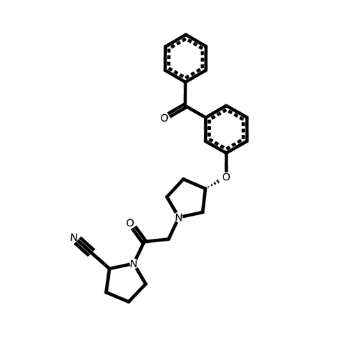 N#CC1CCCN1C(=O)CN1CC[C@H](Oc2cccc(C(=O)c3ccccc3)c2)C1